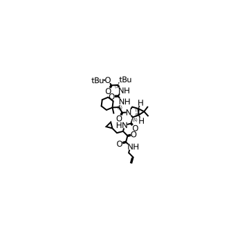 C=CCNC(=O)C(=O)C(CC1CC1)NC(=O)[C@@H]1[C@@H]2[C@H](CN1C(=O)[C@@H](NC(=O)N[C@H](C(=O)OC(C)(C)C)C(C)(C)C)C1(C)CCCCC1)C2(C)C